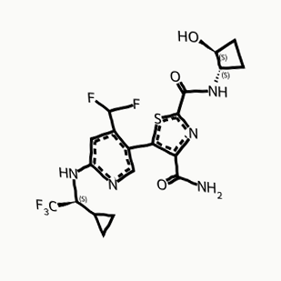 NC(=O)c1nc(C(=O)N[C@H]2CC[C@@H]2O)sc1-c1cnc(N[C@@H](C2CC2)C(F)(F)F)cc1C(F)F